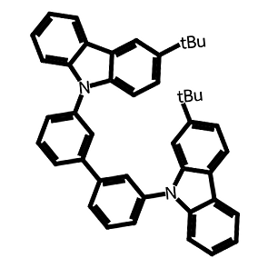 CC(C)(C)c1ccc2c(c1)c1ccccc1n2-c1cccc(-c2cccc(-n3c4ccccc4c4ccc(C(C)(C)C)cc43)c2)c1